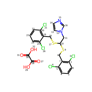 Clc1cccc(Cl)c1CSC(Cn1ccnc1)SCc1c(Cl)cccc1Cl.O=C(O)C(=O)O